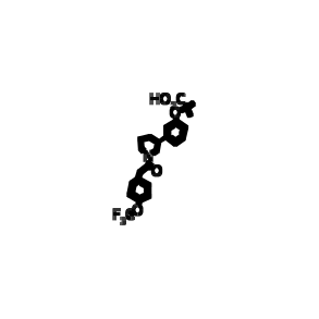 CC(C)(Oc1cccc([C@@H]2CCCN(C(=O)Cc3ccc(OC(F)(F)F)cc3)C2)c1)C(=O)O